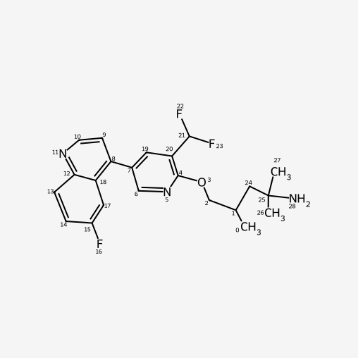 CC(COc1ncc(-c2ccnc3ccc(F)cc23)cc1C(F)F)CC(C)(C)N